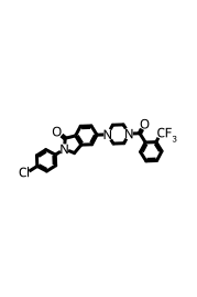 O=C(c1ccccc1C(F)(F)F)N1CCN(c2ccc3c(c2)CN(c2ccc(Cl)cc2)C3=O)CC1